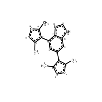 Cc1noc(C)c1-c1cc(-c2c(C)noc2C)c2nc[nH]c2c1